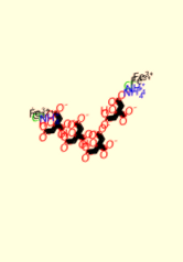 O=C([O-])CC(O)(CC(=O)[O-])C(=O)[O-].O=C([O-])CC(O)(CC(=O)[O-])C(=O)[O-].O=C([O-])CC(O)(CC(=O)[O-])C(=O)[O-].O=C([O-])CC(O)(CC(=O)[O-])C(=O)[O-].[Ca+2].[Cl-].[Cl-].[Fe+3].[Fe+3].[Fe+3].[NH4+].[NH4+].[NH4+]